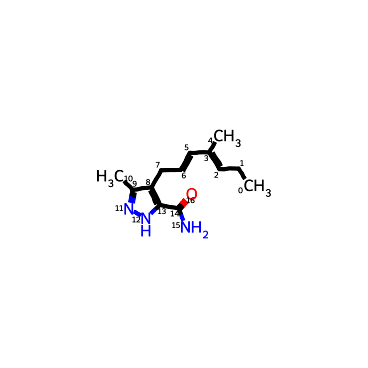 CCC=C(C)C=CCc1c(C)n[nH]c1C(N)=O